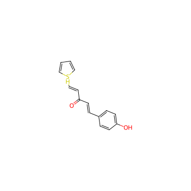 O=C(C=Cc1ccc(O)cc1)C=C[SH]1C=CC=C1